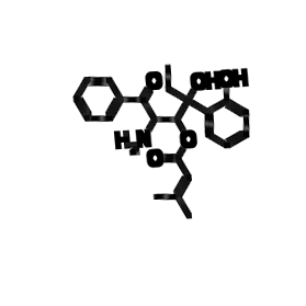 CCC(O)(c1ccccc1O)C(OC(=O)C=C(C)C)C(N)C(=O)c1ccccc1